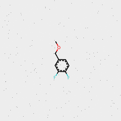 CO[CH]c1ccc(F)c(F)c1